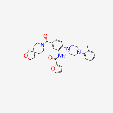 Cc1ccccc1N1CCN(c2ccc(C(=O)N3CCC4(CCOC4)CC3)cc2NC(=O)c2ccco2)CC1